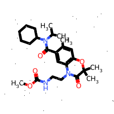 COC(=O)NCCN1C(=O)C(C)(C)Oc2cc(C)c(C(=O)N(C(C)C)C3CCCCC3)cc21